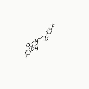 Cc1ccc(C(=O)C2(O)CCN(C/C=C/C(=O)c3ccc(F)cc3)CC2)cc1